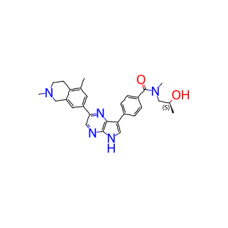 Cc1cc(-c2cnc3[nH]cc(-c4ccc(C(=O)N(C)C[C@H](C)O)cc4)c3n2)cc2c1CCN(C)C2